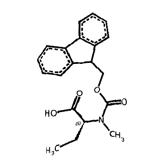 CC[C@@H](C(=O)O)N(C)C(=O)OCC1c2ccccc2-c2ccccc21